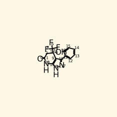 O=C1C[C@@](O)(C(F)(F)F)c2c(-c3ccccc3)n[nH]c2N1